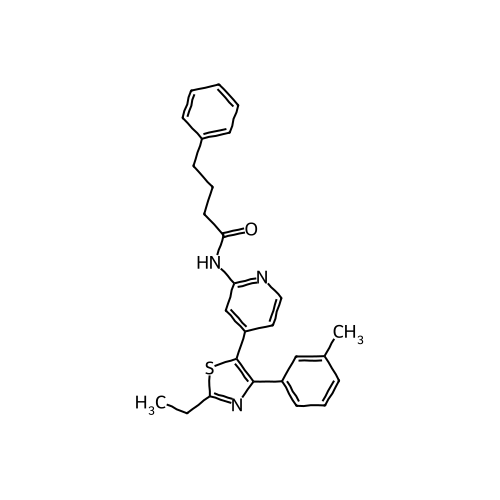 CCc1nc(-c2cccc(C)c2)c(-c2ccnc(NC(=O)CCCc3ccccc3)c2)s1